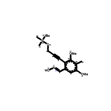 COc1cc(/C=N/O)c(C#CCO[Si](C)(C)C(C)(C)C)c(OC)c1C